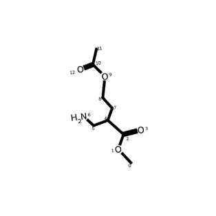 COC(=O)C(CN)CCOC(C)=O